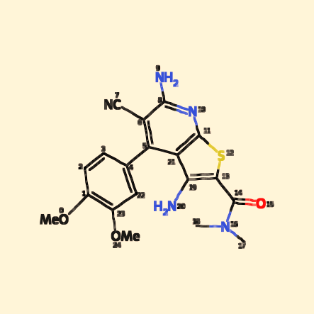 COc1ccc(-c2c(C#N)c(N)nc3sc(C(=O)N(C)C)c(N)c23)cc1OC